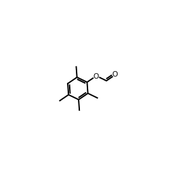 Cc1cc(C)c(OC=O)c(C)c1C